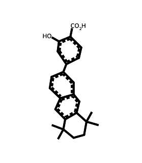 CC1(C)CCC(C)(C)c2cc3cc(-c4ccc(C(=O)O)c(O)c4)ccc3cc21